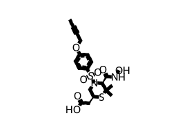 CC#CCOc1ccc(S(=O)(=O)N2C[C@H](CC(=O)O)SC(C)(C)[C@@H]2C(=O)NO)cc1